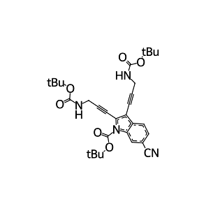 CC(C)(C)OC(=O)NCC#Cc1c(C#CCNC(=O)OC(C)(C)C)n(C(=O)OC(C)(C)C)c2cc(C#N)ccc12